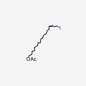 CC(=O)OCCCCCCCCCCCCCC/C=C\CCI